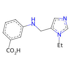 CCn1cncc1CNc1cccc(C(=O)O)c1